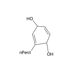 CCCCCC1=CC(O)C=CC1O